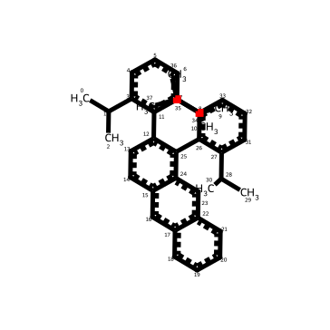 CC(C)c1cccc(C(C)C)c1-c1ccc2cc3ccccc3cc2c1-c1c(C(C)C)cccc1C(C)C